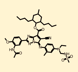 CCCCC1CC(C)CC(CCCC)C1OC(=O)C1=C(C#N)/C(=N\c2ccc(N(CC)CNS(C)(=O)=O)cc2C)n2nc(-c3ccc(OC)c(NC(C)=O)c3)nc21